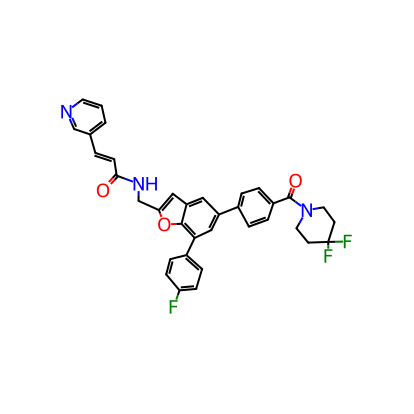 O=C(C=Cc1cccnc1)NCc1cc2cc(-c3ccc(C(=O)N4CCC(F)(F)CC4)cc3)cc(-c3ccc(F)cc3)c2o1